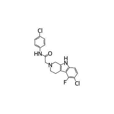 O=C(CN1CCc2c([nH]c3ccc(Cl)c(F)c23)C1)Nc1ccc(Cl)cc1